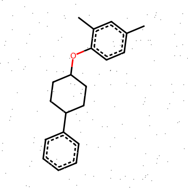 Cc1ccc(OC2CCC(c3ccccc3)CC2)c(C)c1